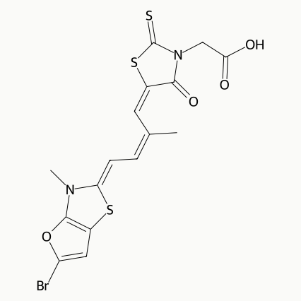 CC(=CC=C1Sc2cc(Br)oc2N1C)C=C1SC(=S)N(CC(=O)O)C1=O